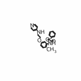 Cc1ccc(OCCNc2ccncc2)cc1NS(=O)(=O)c1ccccc1